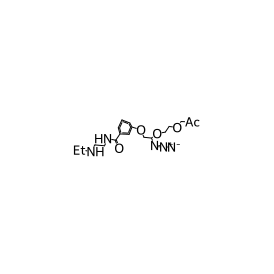 CCNCCNC(=O)c1cccc(OCC(N=[N+]=[N-])OCCOCC(C)=O)c1